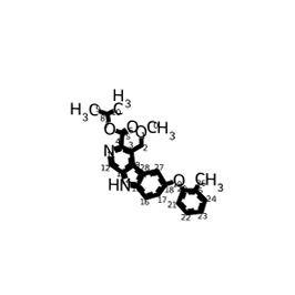 COCc1c(C(=O)OC(C)C)ncc2[nH]c3ccc(Oc4ccccc4C)cc3c12